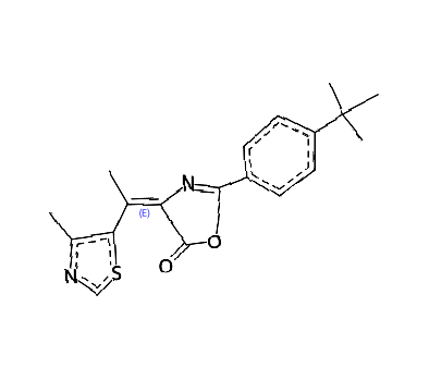 C/C(=C1\N=C(c2ccc(C(C)(C)C)cc2)OC1=O)c1scnc1C